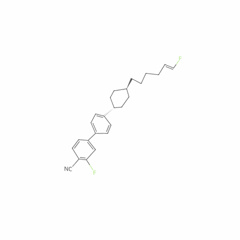 N#Cc1ccc(-c2ccc([C@H]3CC[C@H](CCCCC=CF)CC3)cc2)cc1F